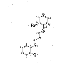 Brc1ccccc1SCCCSc1ccccc1Br